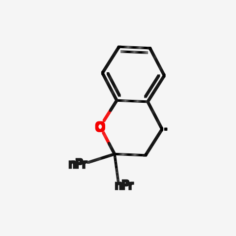 CCCC1(CCC)C[CH]c2ccccc2O1